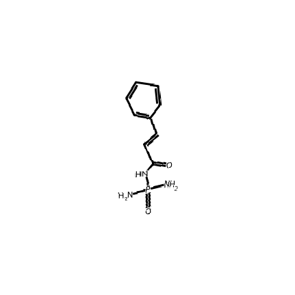 NP(N)(=O)NC(=O)C=Cc1ccccc1